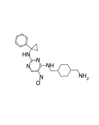 NCC1CCC(CNc2nc(NC3(c4ccccc4)CC3)ncc2N=O)CC1